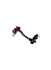 CC/C(=C(\c1ccc(O)cc1)c1ccc(OCCOCCOCCOCCNc2cccc3c2CN(C2CCC(=O)NC2=O)C3=O)cc1)c1ccccc1